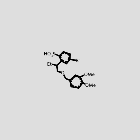 CCC(COCc1ccc(OC)c(OC)c1)c1cc(Br)ccc1S(=O)(=O)O